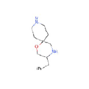 CC(C)CC1COC2(CCNCC2)CN1